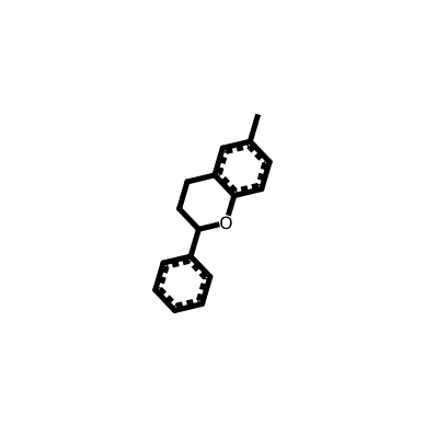 Cc1ccc2c(c1)CCC(c1ccccc1)O2